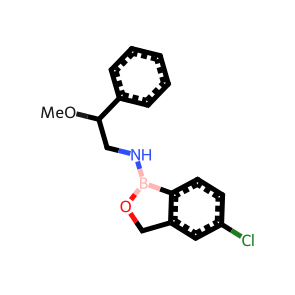 COC(CNB1OCc2cc(Cl)ccc21)c1ccccc1